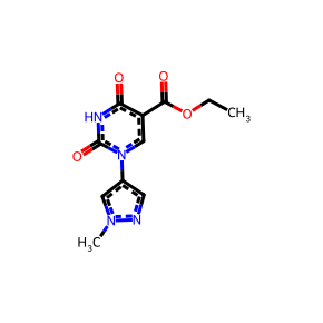 CCOC(=O)c1cn(-c2cnn(C)c2)c(=O)[nH]c1=O